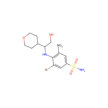 NS(=O)(=O)c1cc(Br)c(NC(CO)C2CCOCC2)c([N+](=O)[O-])c1